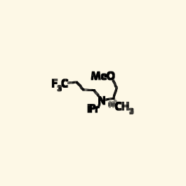 COC[C@H](C)N(CCCC(F)(F)F)C(C)C